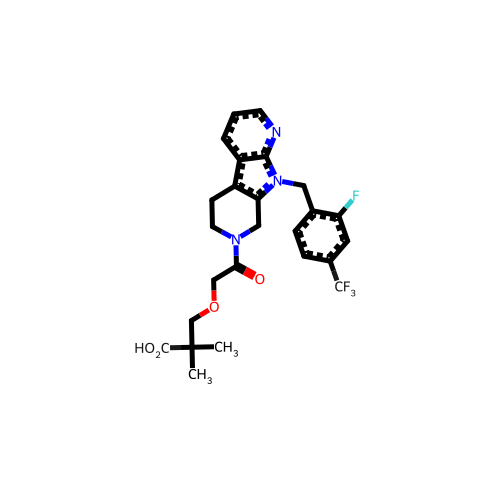 CC(C)(COCC(=O)N1CCc2c(n(Cc3ccc(C(F)(F)F)cc3F)c3ncccc23)C1)C(=O)O